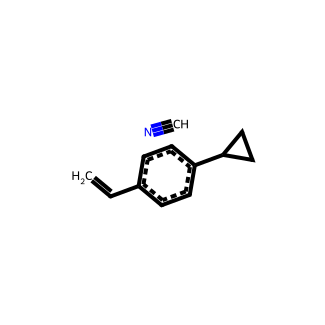 C#N.C=Cc1ccc(C2CC2)cc1